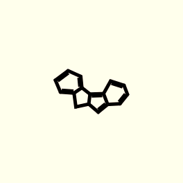 C1=c2ccccc2=C2c3ccccc3CC12